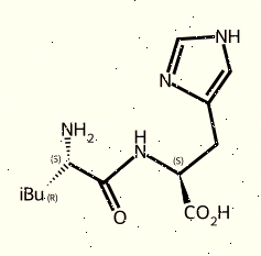 CC[C@@H](C)[C@H](N)C(=O)N[C@@H](Cc1c[nH]cn1)C(=O)O